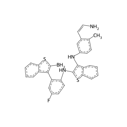 Bc1sc2ccccc2c1-c1cc(F)ccc1Nc1sc2ccccc2c1Nc1ccc(C)c(/C=C\N)c1